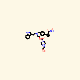 O=C(NO)C1C#CC1c1ccc(CN(CCOC(=O)N2CCN(CCO)CC2)CCc2c[nH]c3ccccc23)cc1